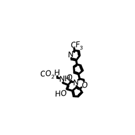 O=C(O)CNCc1c(O)c2cccc3c2n(c1=O)C(c1ccc(-c2ccc(C(F)(F)F)nc2)cc1)CO3